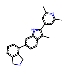 Cc1cc(-c2[nH]c3cc(-c4cccc5c4CNC5)ccc3c2C)cc(C)n1